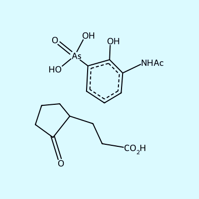 CC(=O)Nc1cccc([As](=O)(O)O)c1O.O=C(O)CCC1CCCC1=O